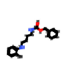 CCc1ccccc1NCCCCNC(=O)OCc1ccccc1